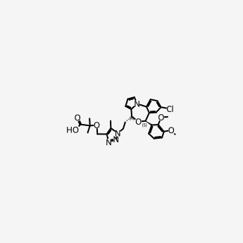 COc1cccc([C@H]2O[C@H](CCn3nnc(COC(C)(C)C(=O)O)c3C)c3cccn3-c3ccc(Cl)cc32)c1OC